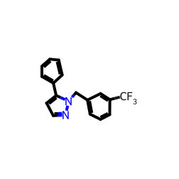 FC(F)(F)c1cccc(Cn2nccc2-c2ccccc2)c1